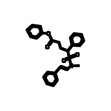 CN(C=Cc1ccccc1)S(=O)(=O)C(CCC(=O)Oc1ccccc1)c1ccccc1